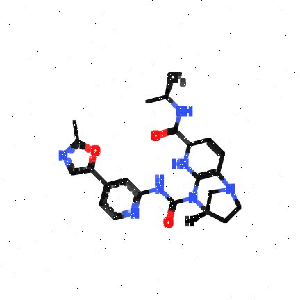 Cc1ncc(-c2ccnc(NC(=O)N3C4=C(C=CC(C(=O)N[C@@H](C)C(F)(F)F)N4)N4CC[C@H]3C4)c2)o1